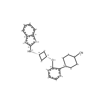 N#CC1CCN(c2nccnc2O[C@H]2C[C@@H](Nc3nc4ccccc4s3)C2)CC1